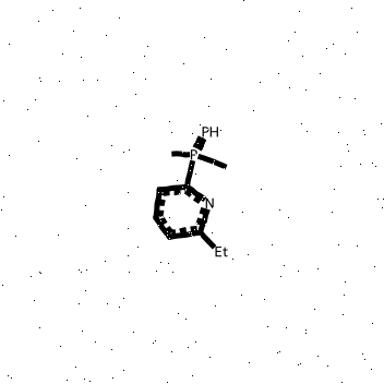 CCc1cccc(P(C)(C)=P)n1